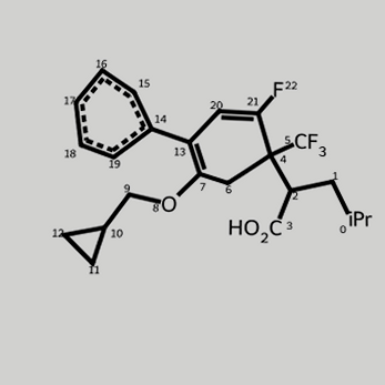 CC(C)CC(C(=O)O)C1(C(F)(F)F)CC(OCC2CC2)=C(c2ccccc2)C=C1F